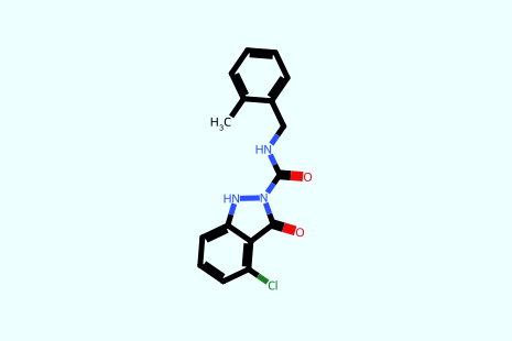 Cc1ccccc1CNC(=O)n1[nH]c2cccc(Cl)c2c1=O